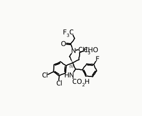 CN(C[C@](CCC=O)(c1ccc(Cl)c(Cl)c1)C(NC(=O)O)c1cccc(F)c1)C(=O)CC(F)(F)F